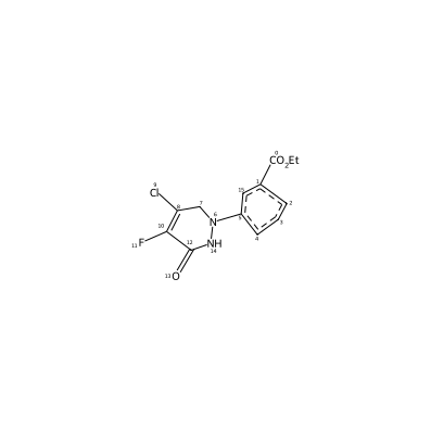 CCOC(=O)c1cccc(N2CC(Cl)=C(F)C(=O)N2)c1